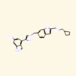 Nc1cc(-c2cn(Cc3ccc4cc(CNCC5CCC5)[nH]c4c3)nn2)c2cn[nH]c2c1